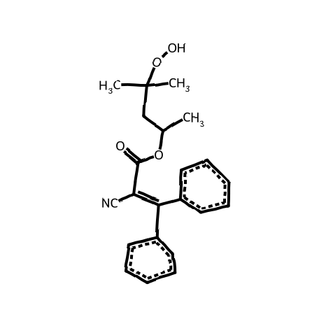 CC(CC(C)(C)OO)OC(=O)C(C#N)=C(c1ccccc1)c1ccccc1